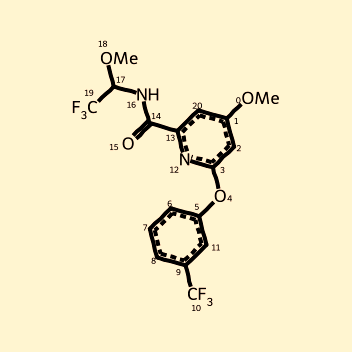 COc1cc(Oc2cccc(C(F)(F)F)c2)nc(C(=O)NC(OC)C(F)(F)F)c1